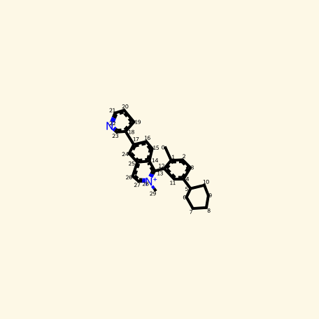 Cc1ccc(C2CCCCC2)cc1-c1c2ccc(-c3cccnc3)cc2cc[n+]1C